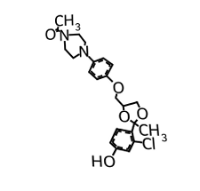 CC(=O)N1CCN(c2ccc(OCC3COC(C)(c4ccc(O)cc4Cl)O3)cc2)CC1